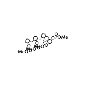 COC(=O)COc1ccccc1Cc1cccc(Cc2cccc(Cc3ccccc3OCC(=O)OC)c2OCC(=O)OC)c1OCC(=O)OC